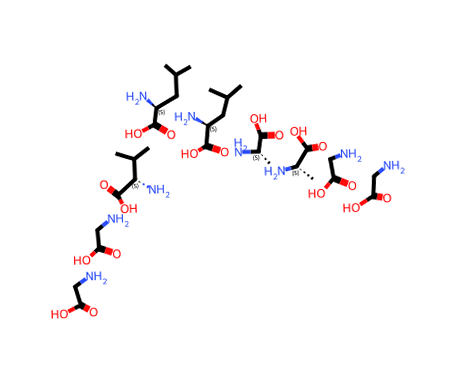 CC(C)C[C@H](N)C(=O)O.CC(C)C[C@H](N)C(=O)O.CC(C)[C@H](N)C(=O)O.C[C@H](N)C(=O)O.C[C@H](N)C(=O)O.NCC(=O)O.NCC(=O)O.NCC(=O)O.NCC(=O)O